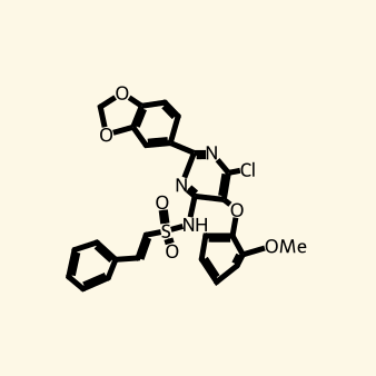 COc1ccccc1Oc1c(Cl)nc(-c2ccc3c(c2)OCO3)nc1NS(=O)(=O)/C=C/c1ccccc1